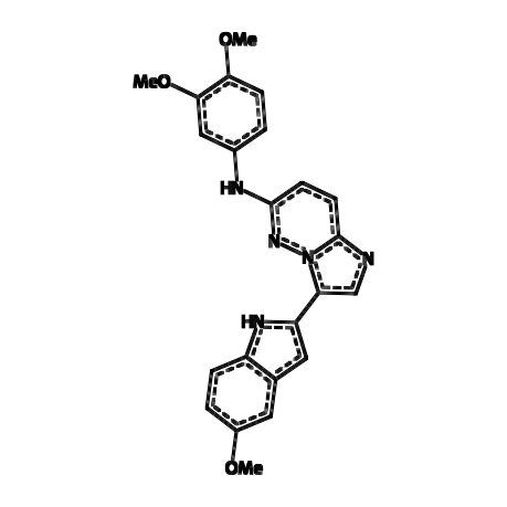 COc1ccc2[nH]c(-c3cnc4ccc(Nc5ccc(OC)c(OC)c5)nn34)cc2c1